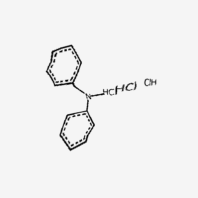 CN(c1ccccc1)c1ccccc1.Cl.Cl.Cl